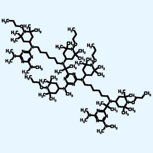 CCCON1C(C)(C)CC(N(C)c2nc(N(CCCCCCN(C3CC(C)(C)N(OCCC)C(C)(C)C3)C(C)(C)c3nc(N(C)C)nc(N(C)C)n3)C3CC(C)(C)N(OCCC)C(C)(C)C3)nc(C(C)(C)N(CCCCCCN(c3nc(N(C)C)nc(N(C)C)n3)C3CC(C)(C)N(OCCC)C(C)(C)C3)C3CC(C)(C)N(OCCC)C(C)(C)C3)n2)CC1(C)C